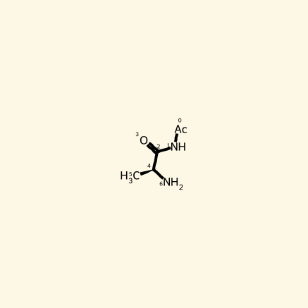 CC(=O)NC(=O)[C@H](C)N